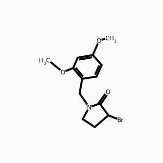 COc1ccc(CN2CCC(Br)C2=O)c(OC)c1